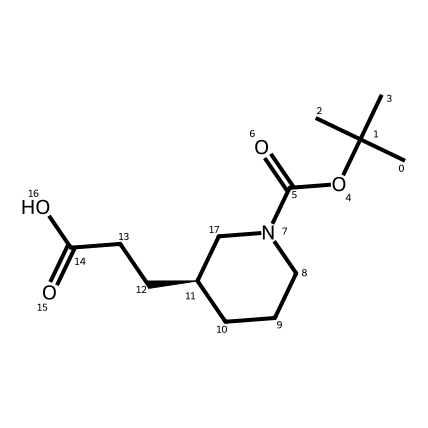 CC(C)(C)OC(=O)N1CCC[C@@H](CCC(=O)O)C1